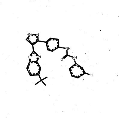 CC(C)(C)c1ccc2oc(-c3c[nH]nc3-c3ccc(NC(=O)Nc4cccc(Cl)c4)cc3)nc2c1